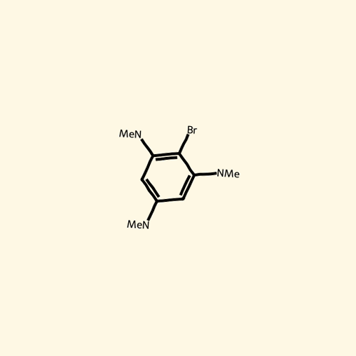 CNc1cc(NC)c(Br)c(NC)c1